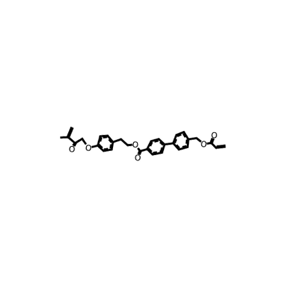 C=CC(=O)OCc1ccc(-c2ccc(C(=O)OCCc3ccc(OCC(=O)C(=C)C)cc3)cc2)cc1